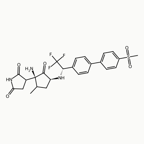 CC1C[C@H](N[C@@H](c2ccc(-c3ccc(S(C)(=O)=O)cc3)cc2)C(F)(F)F)C(=O)[C@@]1(N)C1CC(=O)NC1=O